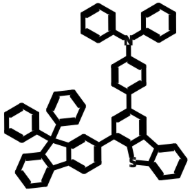 c1ccc(N(c2ccccc2)c2ccc(-c3cc(-c4ccc5c(c4)C(c4ccccc4)(c4ccccc4)c4ccccc4-5)c4sc5ccccc5c4c3)cc2)cc1